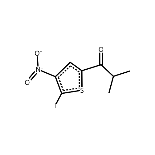 CC(C)C(=O)c1cc([N+](=O)[O-])c(I)s1